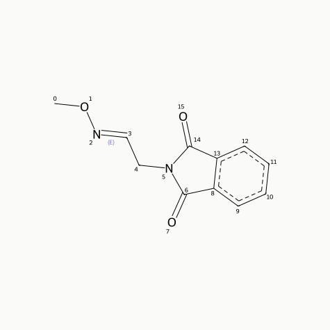 CO/N=C/CN1C(=O)c2ccccc2C1=O